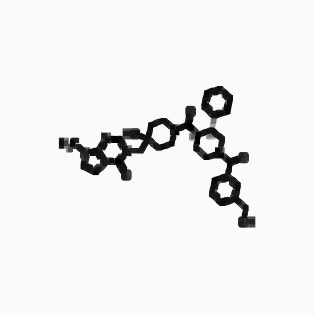 Cn1ccc2c(=O)n(CC3(O)CCN(C(=O)[C@@H]4CCN(C(=O)c5cccc(CO)c5)C[C@H]4c4ccccc4)CC3)cnc21